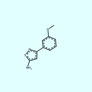 COc1cccc(-c2cc(N)sn2)c1